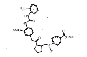 COC(=O)c1ccc([S+]([O-])CC2CCCN2C(=O)Cc2ccc(NC(=O)Nc3ccccc3C)c(OC)c2)cc1